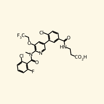 CN(C(=O)c1c(F)cccc1Cl)c1ncc(-c2cc(C(=O)NCCC(=O)O)ccc2Cl)cc1OCC(F)(F)F